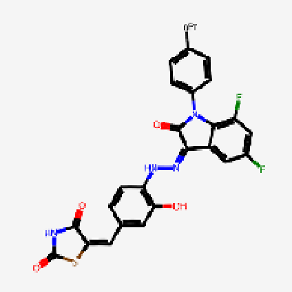 CCCc1ccc(N2C(=O)C(=NNc3ccc(C=C4SC(=O)NC4=O)cc3O)c3cc(F)cc(F)c32)cc1